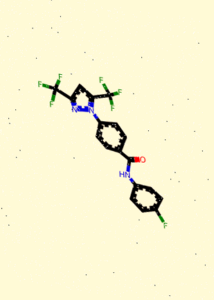 O=C(Nc1ccc(F)cc1)c1ccc(-n2nc(C(F)(F)F)cc2C(F)(F)F)cc1